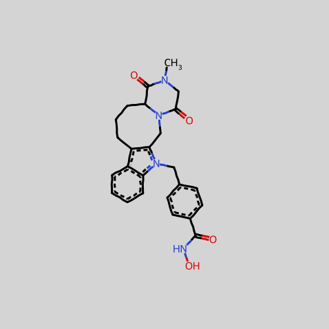 CN1CC(=O)N2Cc3c(c4ccccc4n3Cc3ccc(C(=O)NO)cc3)CCCC2C1=O